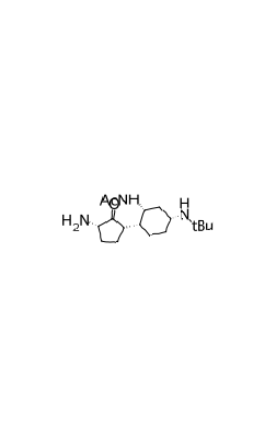 CC(=O)N[C@@H]1C[C@H](NC(C)(C)C)CC[C@@H]1C1CC[C@H](N)C1=O